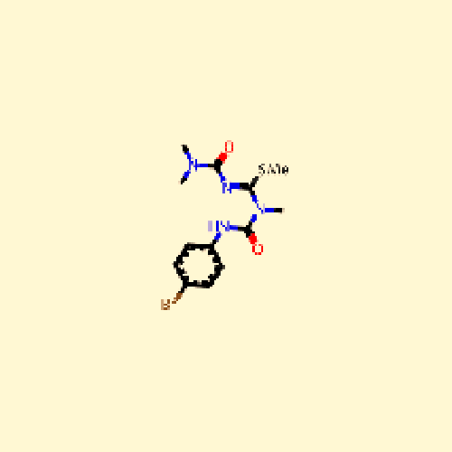 CSC(=NC(=O)N(C)C)N(C)C(=O)Nc1ccc(Br)cc1